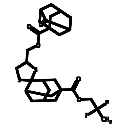 CC(F)(F)COC(=O)C12CC3CC(C1)C1(SCC(COC(=O)C45CC6CC(C4)C(=O)C(C6)C5)S1)C(C3)C2